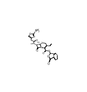 C=CC1=C(C(=O)OC2OC(=O)c3ccccc32)N2C(=O)C(NC(=O)Cc3csc(N)n3)[C@H]2SC1